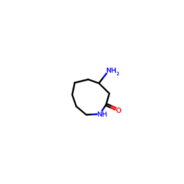 NC1CCCCCNC(=O)C1